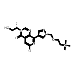 C[C@@H](CO)n1cnc2c(-c3cnn(COCC[Si](C)(C)C)c3)nc(Cl)cc2c1=O